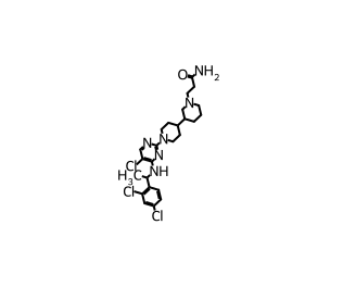 CC(Nc1nc(N2CCC(C3CCCN(CCC(N)=O)C3)CC2)ncc1Cl)c1ccc(Cl)cc1Cl